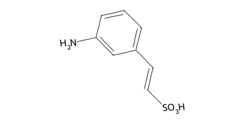 Nc1cccc(C=CS(=O)(=O)O)c1